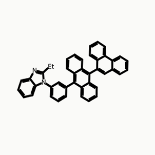 CCc1nc2ccccc2n1-c1cccc(-c2c3ccccc3c(-c3cc4ccccc4c4ccccc34)c3ccccc23)c1